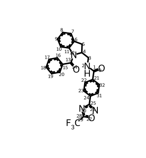 O=C(NCC1Cc2ccccc2N1C(=O)c1ccccc1)c1ccc(-c2noc(C(F)(F)F)n2)cc1